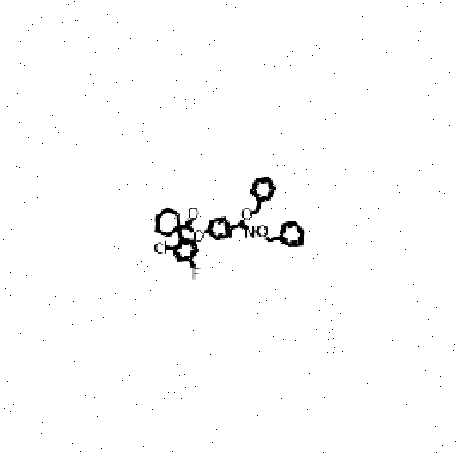 O=C(Oc1ccc(C(=NOCc2ccccc2)OCc2ccccc2)cc1)C1(c2ccc(F)cc2Cl)CCCCC1